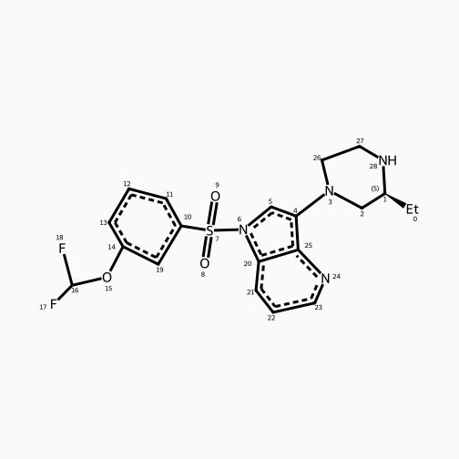 CC[C@H]1CN(c2cn(S(=O)(=O)c3cccc(OC(F)F)c3)c3cccnc23)CCN1